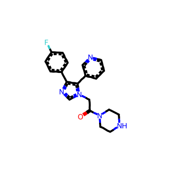 O=C(Cn1cnc(-c2ccc(F)cc2)c1-c1cccnc1)N1CCNCC1